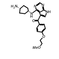 COCCOc1ccc(C(=O)c2c[nH]c3ncnc(N[C@H]4CC[C@@H](N)CC4)c23)cc1